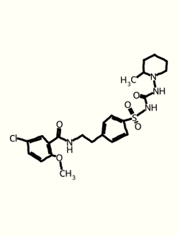 COc1ccc(Cl)cc1C(=O)NCCc1ccc(S(=O)(=O)NC(=O)NN2CCCCC2C)cc1